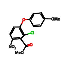 COC(=O)c1c([N+](=O)[O-])ccc(Oc2ccc(OC)cc2)c1Cl